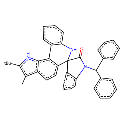 Cc1c(C(C)(C)C)[nH]c2c3c(ccc12)C1(Nc2ccccc2-3)C(=O)N(C(c2ccccc2)c2ccccc2)c2ccccc21